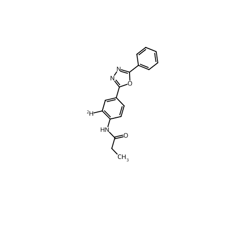 [2H]c1cc(-c2nnc(-c3ccccc3)o2)ccc1NC(=O)CC